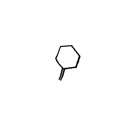 C=C1CC[CH]CC1